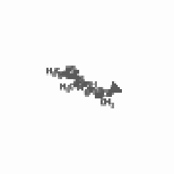 COc1cncc(-c2sc(NC(=O)NC[C@H](C)OCC3CC3)nc2C)c1